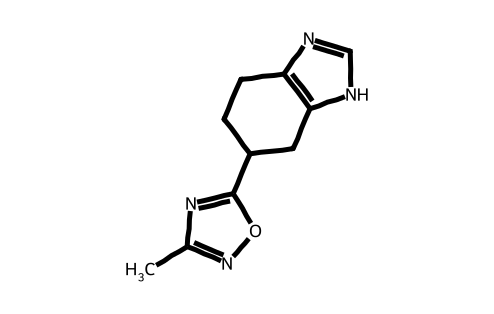 Cc1noc(C2CCc3nc[nH]c3C2)n1